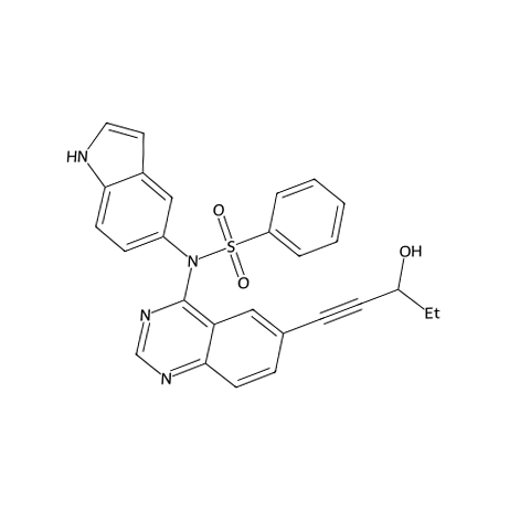 CCC(O)C#Cc1ccc2ncnc(N(c3ccc4[nH]ccc4c3)S(=O)(=O)c3ccccc3)c2c1